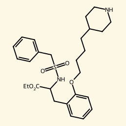 CCOC(=O)C(Cc1ccccc1OCCCCC1CCNCC1)NS(=O)(=O)Cc1ccccc1